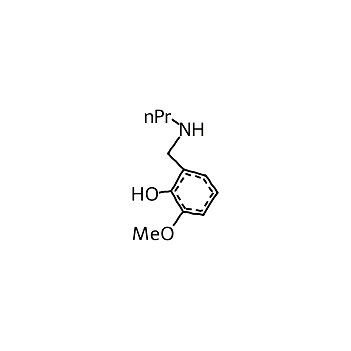 CCCNCc1cccc(OC)c1O